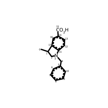 CC1CN(Cc2ccccc2)c2ccc(C(=O)O)cc21